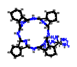 [NH2][Pd]([NH2])([NH2])([NH2])[c]1cccc2c3nc4nc(nc5[nH]c(nc6nc(nc([nH]3)c12)-c1ccccc1-6)c1ccccc51)-c1ccccc1-4